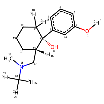 [2H]Oc1cccc([C@]2(O)C([2H])([2H])CCC[C@@]2([2H])CN(C)C([2H])([2H])[2H])c1